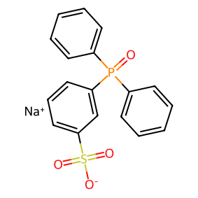 O=P(c1ccccc1)(c1ccccc1)c1cccc(S(=O)(=O)[O-])c1.[Na+]